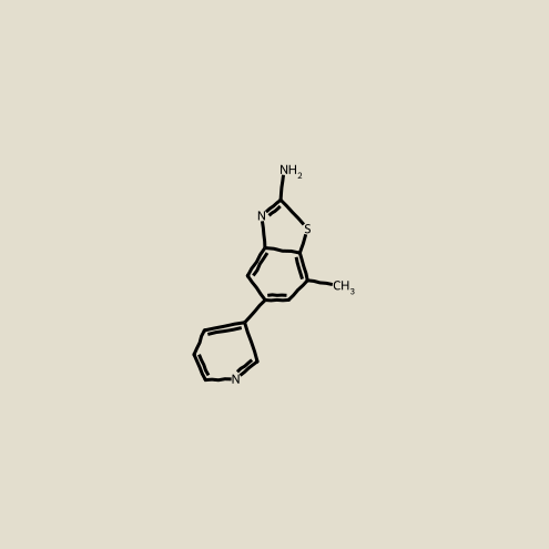 Cc1cc(-c2cccnc2)cc2nc(N)sc12